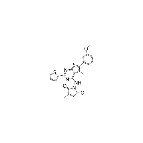 COc1cccc(-c2sc3nc(-c4cccs4)nc(NN4C(=O)C=C(C)C4=O)c3c2C)c1